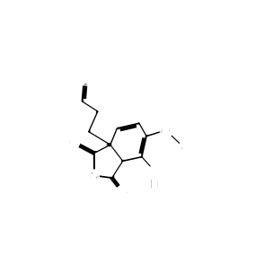 COC1=C(OC)C2C(=O)NC(=O)C2(CCC=O)C=C1